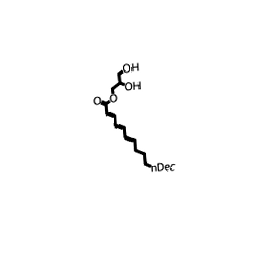 CCCCCCCCCCCCCC=CC=CC=CC(=O)OCC(O)CO